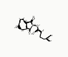 CC(C)CCC(=O)ON1C(=O)c2ccccc2C1=O